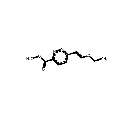 CCOC=Cc1ccc(C(=O)OC)nn1